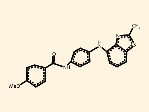 COc1ccc(C(=O)Nc2ccc(Nc3cccc4sc(C(F)(F)F)nc34)cc2)cc1